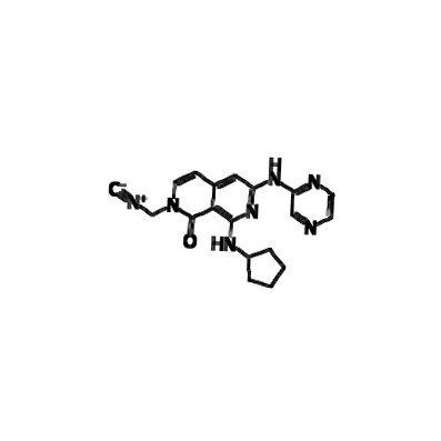 [C-]#[N+]Cn1ccc2cc(Nc3cnccn3)nc(NC3CCCC3)c2c1=O